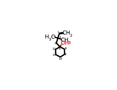 C=CC(C)(C)CC1(O)CCCCC1